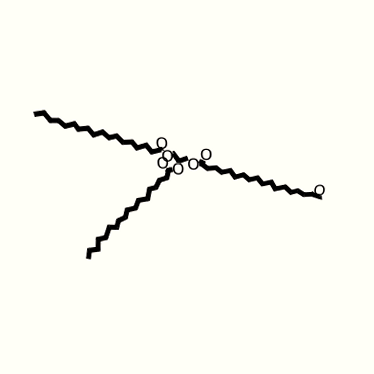 CCCCCCCCCCCCCCCCCC(=O)OCC(COC(=O)CCCCCCCCCCCCCCCC1CO1)OC(=O)CCCCCCCCCCCCCCCCC